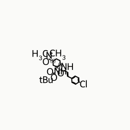 CN(C)C(=O)[C@H]1CC[C@H](NC(=O)C=Cc2ccc(Cl)cc2)[C@H](NC(=O)OC(C)(C)C)C1